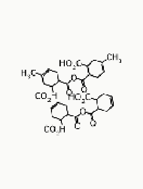 CC1=CCC(C(=O)OC(=O)C2CC=C(C)CC2C(=O)O)C(C(=O)O)C1.O=C(O)C1CC=CCC1C(=O)OC(=O)C1CC=CCC1C(=O)O